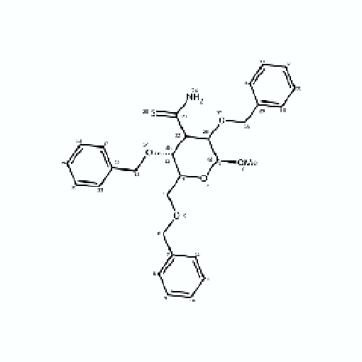 CO[C@H]1OC(COCc2ccccc2)[C@H](OCc2ccccc2)C(C(N)=S)C1OCc1ccccc1